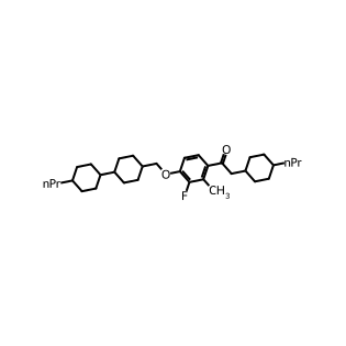 CCCC1CCC(CC(=O)c2ccc(OCC3CCC(C4CCC(CCC)CC4)CC3)c(F)c2C)CC1